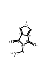 CCN1C(=O)c2cocc2C1=O